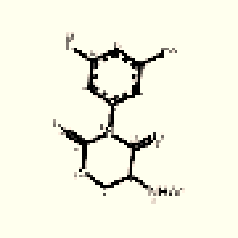 CC(=O)NC1CSC(=S)N(c2cc(F)cc(F)c2)C1=O